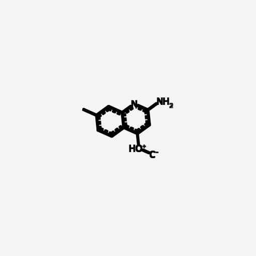 [CH2-][OH+]c1cc(N)nc2cc(C)ccc12